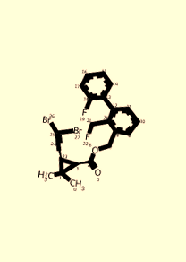 CC1(C)[C@H](C(=O)OCc2cccc(-c3ccccc3F)c2CF)[C@@H]1C=C(Br)Br